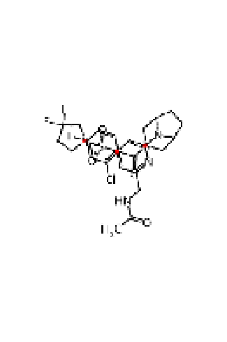 CC(=O)NCc1cc(S(=O)(=O)N2CCC(F)(F)C2)cc(N2C3CCC2CN(C(=O)c2ccc(F)cc2Cl)C3)n1